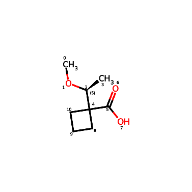 CO[C@@H](C)C1(C(=O)O)CCC1